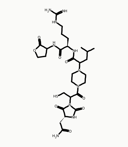 CC(C)CC(C(=O)N[C@H](CCCNC(=N)N)C(=O)NC1CCOC1=O)N1CCN(C(=O)C(CS)N2C(=O)N[C@H](CC(N)=O)C2=O)CC1